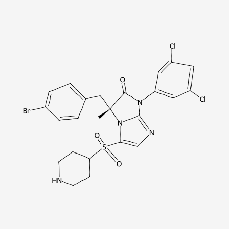 C[C@@]1(Cc2ccc(Br)cc2)C(=O)N(c2cc(Cl)cc(Cl)c2)c2ncc(S(=O)(=O)C3CCNCC3)n21